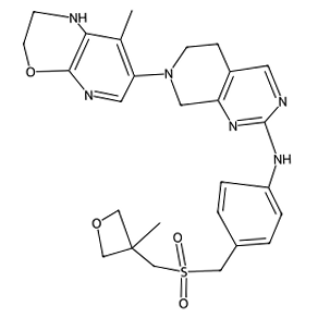 Cc1c(N2CCc3cnc(Nc4ccc(CS(=O)(=O)CC5(C)COC5)cc4)nc3C2)cnc2c1NCCO2